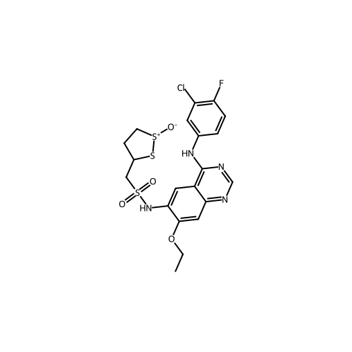 CCOc1cc2ncnc(Nc3ccc(F)c(Cl)c3)c2cc1NS(=O)(=O)CC1CC[S+]([O-])S1